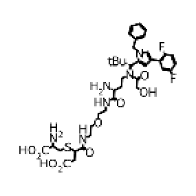 CC(C)(C)[C@H](c1cc(-c2cc(F)ccc2F)cn1Cc1ccccc1)N(CC[C@H](N)C(=O)NCCOCCNC(=O)C(CC(=O)O)SCC(N)C(=O)O)C(=O)CO